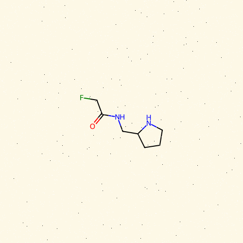 O=C(CF)NCC1CCCN1